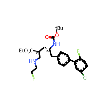 CCOC(=O)[C@H](CNCCF)C[C@@H](Cc1ccc(-c2cc(Cl)ccc2F)cc1)NC(=O)OC(C)(C)C